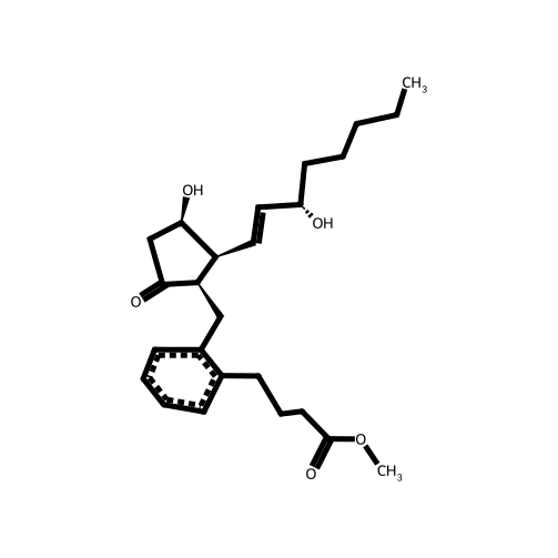 CCCCC[C@H](O)/C=C/[C@@H]1[C@H](O)CC(=O)[C@@H]1Cc1ccccc1CCCC(=O)OC